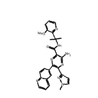 COc1cccnc1C(C)(C)NC(=O)c1nc(-c2ccc3ncccc3c2)c(-c2ccn(C)n2)nc1N